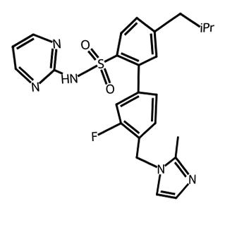 Cc1nccn1Cc1ccc(-c2cc(CC(C)C)ccc2S(=O)(=O)Nc2ncccn2)cc1F